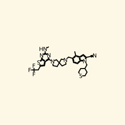 CNc1nc(N2CCC3(CCN(Cc4ccc5c(cc(C#N)n5CC5CCSCC5)c4C)C3)C2)c2cc(CC(F)(F)F)sc2n1